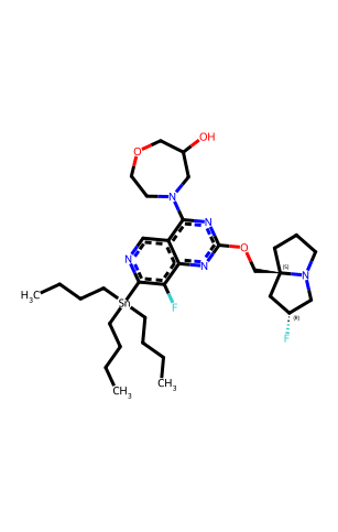 CCC[CH2][Sn]([CH2]CCC)([CH2]CCC)[c]1ncc2c(N3CCOCC(O)C3)nc(OC[C@@]34CCCN3C[C@H](F)C4)nc2c1F